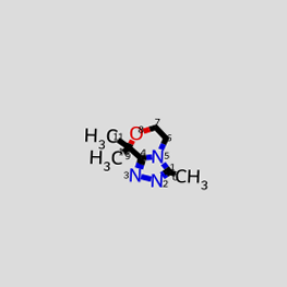 Cc1nnc2n1CCOC2(C)C